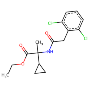 CCOC(=O)C(C)(NC(=O)Cc1c(Cl)cccc1Cl)C1CC1